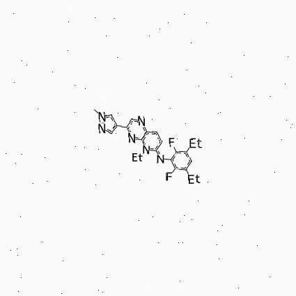 CCc1cc(CC)c(F)c(/N=c2\ccc3ncc(-c4cnn(C)c4)nc3n2CC)c1F